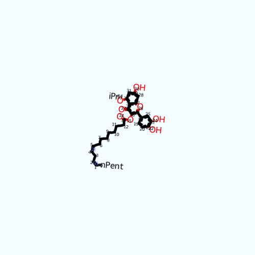 CCCCC/C=C\C/C=C\CCCCCCCC(=O)Oc1c(-c2ccc(O)c(O)c2)oc2cc(O)cc(OC(C)C)c2c1=O